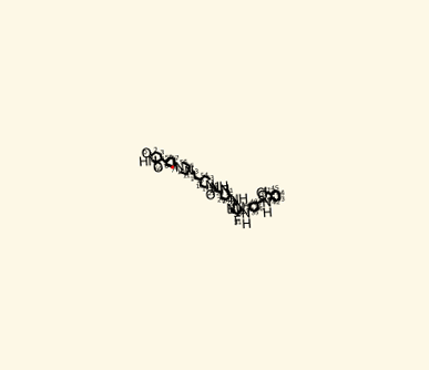 O=C1CCC(c2ccc(N3CCN(CCC4CCN(NC(=O)c5ccc(Nc6ncc(F)c(Nc7ccc(C(=O)Nc8ccccc8Cl)cc7)n6)cn5)CC4)CC3)cc2)C(=O)N1